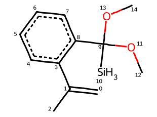 C=C(C)c1ccccc1C([SiH3])(OC)OC